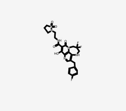 O=C(NCCN1CCCS1(=O)=O)c1c(O)c2ncc(Cc3ccc(F)cc3)c3c2n(c1=O)CC(F)(F)CN3